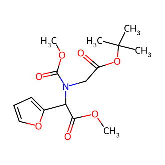 COC(=O)C(c1ccco1)N(CC(=O)OC(C)(C)C)C(=O)OC